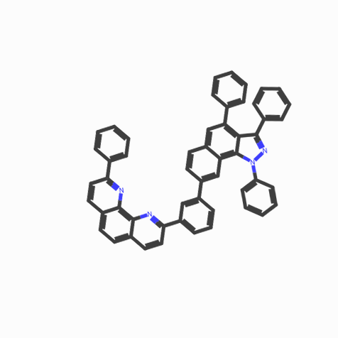 c1ccc(-c2ccc3ccc4ccc(-c5cccc(-c6ccc7cc(-c8ccccc8)c8c(-c9ccccc9)nn(-c9ccccc9)c8c7c6)c5)nc4c3n2)cc1